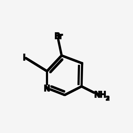 Nc1cnc(I)c(Br)c1